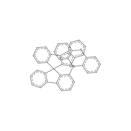 c1ccc2c(c1)Sc1ccccc1N2c1cccc2c1C1(c3ccccc3-2)c2ccccc2-c2c1oc1ccccc21